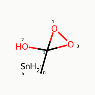 CC1(O)OO1.[SnH2]